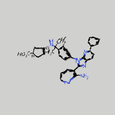 CC(C)(N[C@@H]1CC[C@@H](C(=O)O)C1)c1ccc(-n2c(-c3cccnc3N)nc3ccc(-c4ccccc4)nc32)cc1